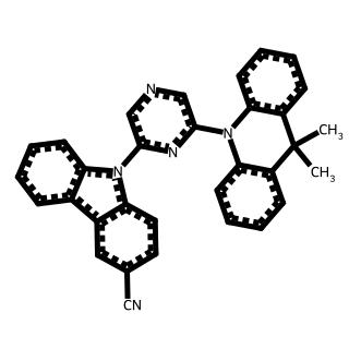 CC1(C)c2ccccc2N(c2cncc(-n3c4ccccc4c4cc(C#N)ccc43)n2)c2ccccc21